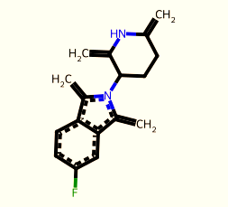 C=C1CCC(n2c(=C)c3ccc(F)cc3c2=C)C(=C)N1